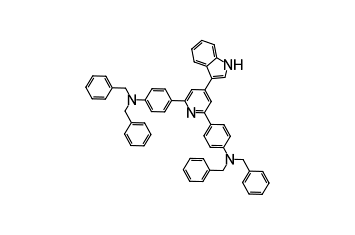 c1ccc(CN(Cc2ccccc2)c2ccc(-c3cc(-c4c[nH]c5ccccc45)cc(-c4ccc(N(Cc5ccccc5)Cc5ccccc5)cc4)n3)cc2)cc1